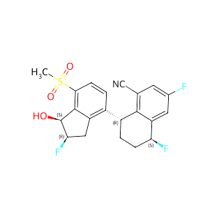 CS(=O)(=O)c1ccc([C@H]2CC[C@H](F)c3cc(F)cc(C#N)c32)c2c1[C@H](O)[C@H](F)C2